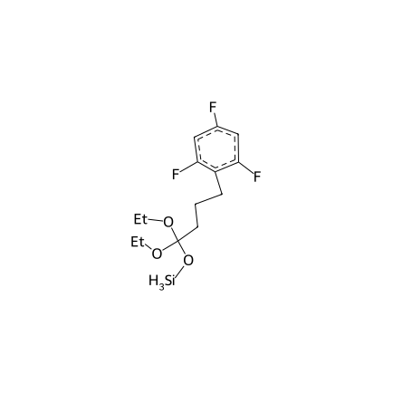 CCOC(CCCc1c(F)cc(F)cc1F)(O[SiH3])OCC